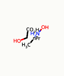 CCCC.NO.O=C(O)CO